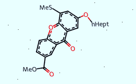 CCCCCCCOc1cc(SC)c2oc3ccc(C(=O)OC)cc3c(=O)c2c1